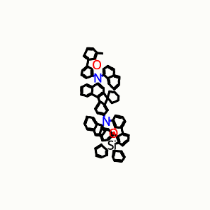 Cc1cccc2c1oc1c(N(c3cccc4ccccc34)c3cc4c(c5ccccc35)-c3ccc(N(c5cccc6ccccc56)c5cccc6c5oc5c([Si](c7ccccc7)(c7ccccc7)c7ccccc7)cccc56)cc3C43CCCCC3)cccc12